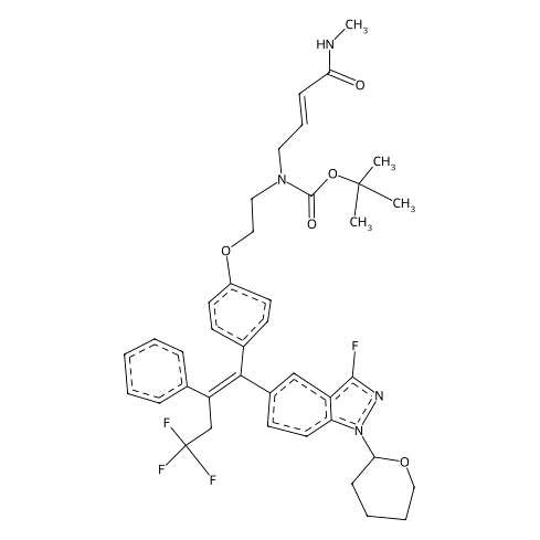 CNC(=O)/C=C/CN(CCOc1ccc(/C(=C(/CC(F)(F)F)c2ccccc2)c2ccc3c(c2)c(F)nn3C2CCCCO2)cc1)C(=O)OC(C)(C)C